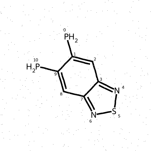 Pc1cc2nsnc2cc1P